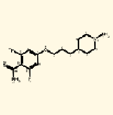 BN1CCC(CCCOc2cc(F)c(C(N)=S)c(F)c2)CC1